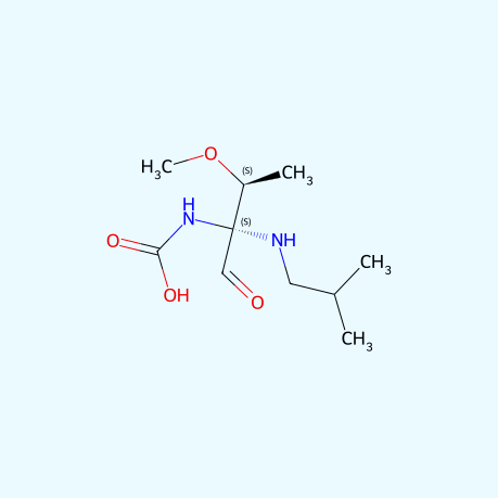 CO[C@@H](C)[C@](C=O)(NCC(C)C)NC(=O)O